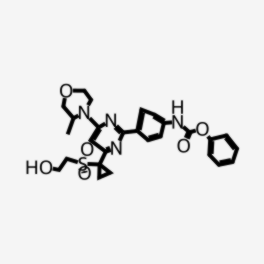 CC1COCCN1c1cc(C2(S(=O)(=O)CCO)CC2)nc(-c2ccc(NC(=O)Oc3ccccc3)cc2)n1